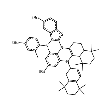 Cc1cc(C(C)(C)C)ccc1N1c2cc(C(C)(C)C)cc3c2B(C2=C(C4C(CC2)C(C)(C)CCC4(C)C)N3C2C=CC3=C(C2)C(C)(C)CCC3(C)C)c2sc3ccc(C(C)(C)C)cc3c21